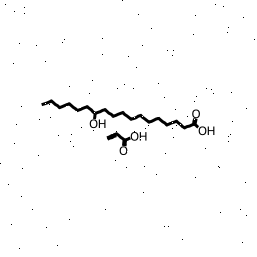 C=CC(=O)O.CCCCCCC(O)CCCCCCCCCCC(=O)O